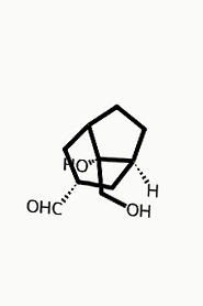 O=C[C@@H]1CC2CC[C@@H](C1)[C@@]2(O)CO